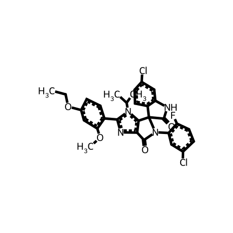 CCOc1ccc(-c2nc3c(n2C(C)C)C2(C(=O)Nc4cc(Cl)ccc42)N(c2cc(Cl)ccc2F)C3=O)c(OC)c1